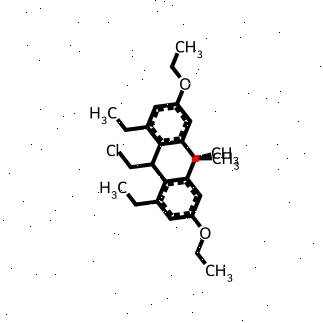 CCOc1cc(CC)c(C(CCl)c2c(CC)cc(OCC)cc2CC)c(CC)c1